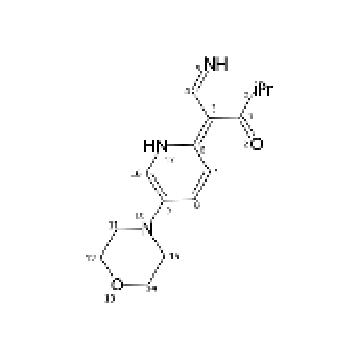 CC(C)C(=O)/C(C=N)=C1\C=CC(N2CCOCC2)=CN1